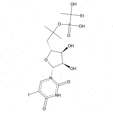 CCC(C)(O)P(=O)(O)OC(C)(C)C[C@H]1O[C@@H](n2cc(I)c(=O)[nH]c2=O)[C@H](O)[C@@H]1O